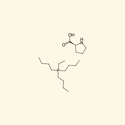 CCCC[P](CC)(CCCC)CCCC.O=C(O)[C@@H]1CCCN1